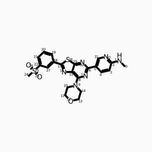 CNc1ccc(-c2nc(N3CCOCC3)c3nc(-c4cccc(S(C)(=O)=O)c4)sc3n2)cn1